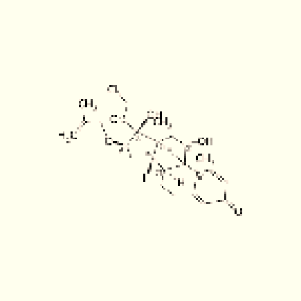 C=C(C)CO[C@@H]1C[C@H]2[C@@H]3CCC4=CC(=O)C=C[C@]4(C)C3(F)[C@@H](O)C[C@]2(C)[C@@]1(O)C(=O)CCl